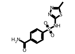 Cc1nnc(NS(=O)(=O)c2ccc(C(N)=O)cc2)s1